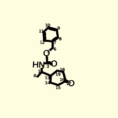 CC(NC(=O)OCc1ccccc1)C1CCC(=O)CC1